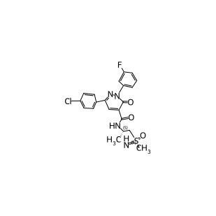 C[C@@H](C[S@@](C)(=N)=O)NC(=O)c1cc(-c2ccc(Cl)cc2)nn(-c2cccc(F)c2)c1=O